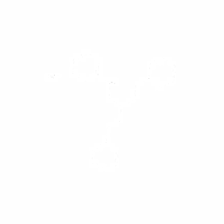 Br.c1ccc(CCC(CCc2ccccc2)CPc2ccccc2)cc1